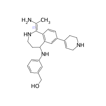 C/C(N)=C1/NCCC(Nc2cccc(CO)c2)c2cc(C3=CCNCC3)ccc21